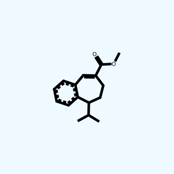 COC(=O)C1=Cc2ccccc2C(C(C)C)CC1